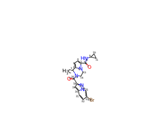 CC1c2ccc(C(=O)NC3CC3)n2CCN1C(=O)c1cc2ccc(Br)cn2n1